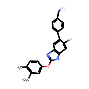 Cc1ccc(Oc2nc3cc(-c4ccc(CN)cc4)c(Cl)cc3[nH]2)cc1C(=O)O